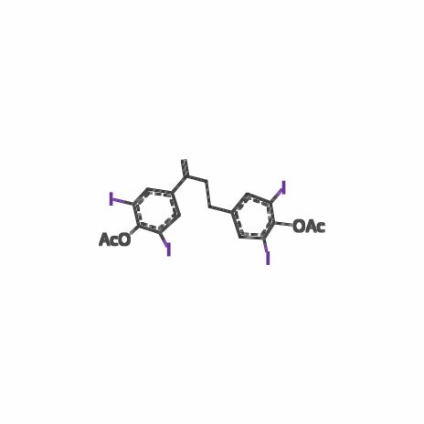 C=C(CCc1cc(I)c(OC(C)=O)c(I)c1)c1cc(I)c(OC(C)=O)c(I)c1